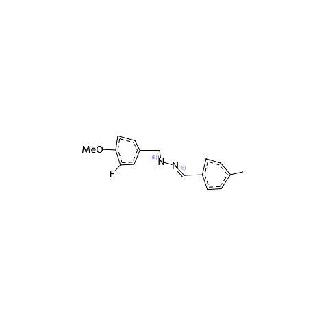 COc1ccc(/C=N/N=C/c2ccc(C)cc2)cc1F